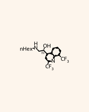 CCCCCCNC[C@@H](O)c1cc(C(F)(F)F)nc2c(C(F)(F)F)cccc12